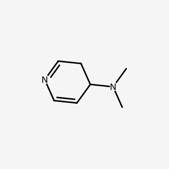 CN(C)C1C=CN=CC1